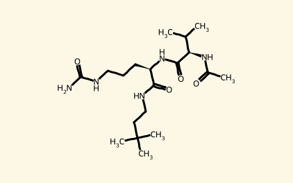 CC(=O)N[C@@H](C(=O)N[C@H](CCCNC(N)=O)C(=O)NCCC(C)(C)C)C(C)C